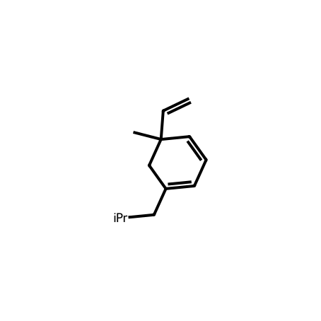 C=CC1(C)C=CC=C(CC(C)C)C1